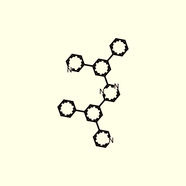 c1ccc(-c2cc(-c3cccnc3)cc(-c3ccnc(-c4cc(-c5ccccc5)cc(-c5cccnc5)c4)n3)c2)cc1